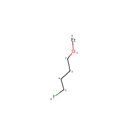 CCOCCCCF